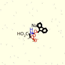 C[C@@H](OS[O-])[C@H](NC(=O)OCC1c2ccccc2-c2ccccc21)C(=O)O.[Na+]